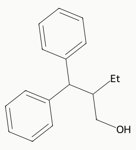 CCC(CO)C(c1ccccc1)c1ccccc1